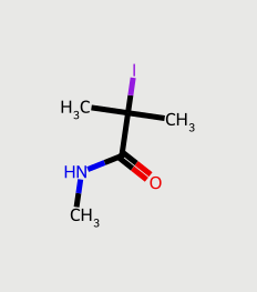 CNC(=O)C(C)(C)I